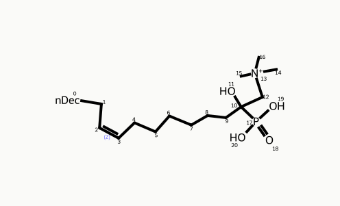 CCCCCCCCCCC/C=C\CCCCCCC(O)(C[N+](C)(C)C)P(=O)(O)O